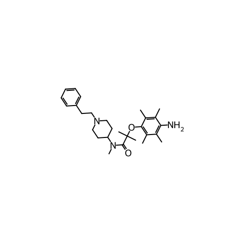 Cc1c(C)c(OC(C)(C)C(=O)N(C)C2CCN(CCc3ccccc3)CC2)c(C)c(C)c1N